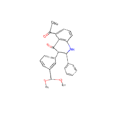 CCOC(OCC)c1cccc(C2C(=O)c3c(cccc3C(=O)OC)NC2c2ccccc2)c1